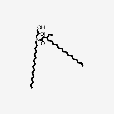 CCCCCCCCCCCCCCCCN(CC(O)CO)C(=O)CC(CC)CCCCCCCCCCCCCCC